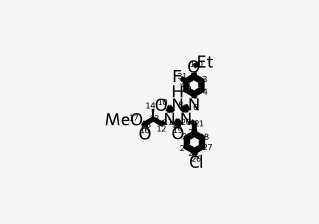 CCOc1ccc(/N=c2\[nH]c(=O)n(C[C@H](C)C(=O)OC)c(=O)n2Cc2ccc(Cl)cc2)cc1F